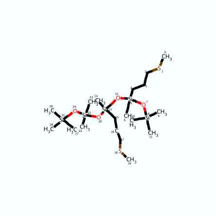 CSCCC[Si](C)(O[Si](C)(C)C)O[Si](C)(CCCSC)O[Si](C)(C)O[Si](C)(C)C